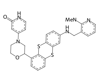 CNc1ncccc1CNc1ccc2c(c1)Sc1cccc(C3CN(c4cc[nH]c(=O)c4)CCO3)c1S2